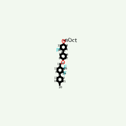 CCCCCCCCOc1ccc(-c2ccc(OCc3ccc(-c4ccc(C)cc4)c(F)c3F)cc2)c(F)c1